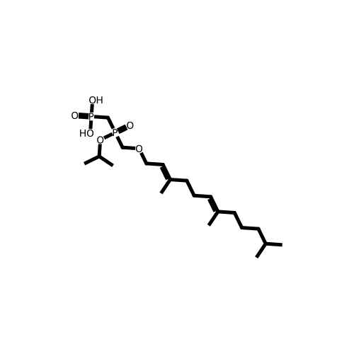 C/C(=C\COCP(=O)(CP(=O)(O)O)OC(C)C)CC/C=C(\C)CCCC(C)C